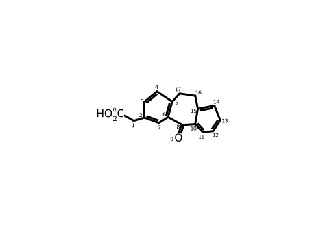 O=C(O)Cc1ccc2c(c1)C(=O)c1ccccc1CC2